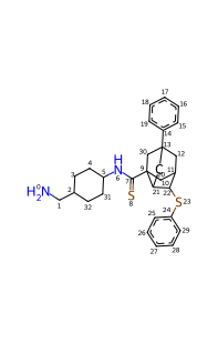 NCC1CCC(NC(=S)C23CC4CC(c5ccccc5)(CC2C4Sc2ccccc2)C3)CC1